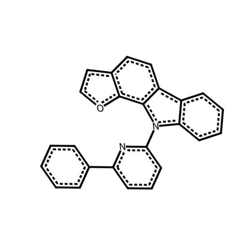 c1ccc(-c2cccc(-n3c4ccccc4c4ccc5ccoc5c43)n2)cc1